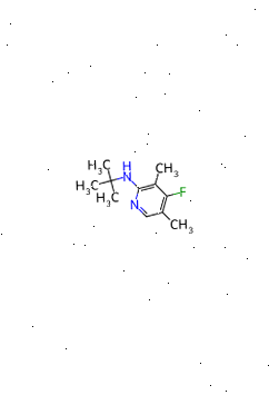 Cc1cnc(NC(C)(C)C)c(C)c1F